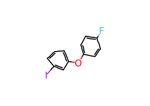 Fc1ccc(Oc2cccc(I)c2)cc1